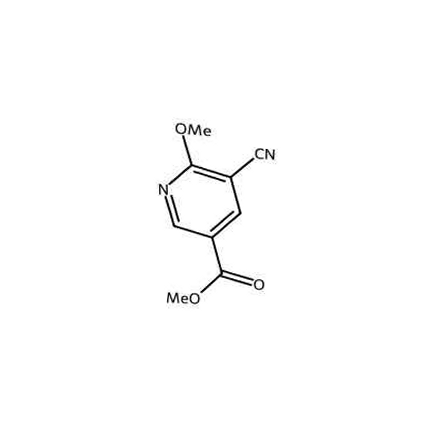 COC(=O)c1cnc(OC)c(C#N)c1